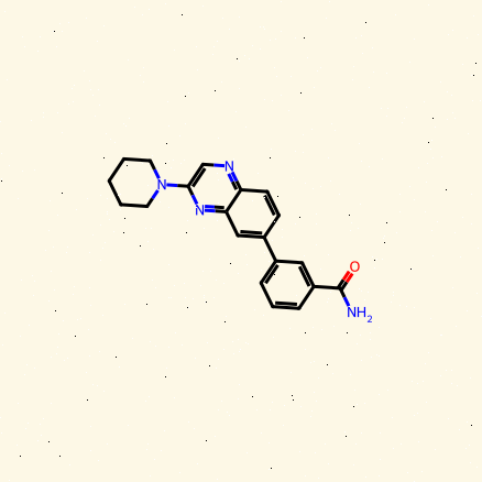 NC(=O)c1cccc(-c2ccc3ncc(N4CCCCC4)nc3c2)c1